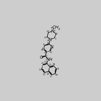 CN1CCN(c2cnc(C(=O)Nc3cccc4ccccc34)cn2)CC1